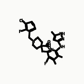 Cc1cc(Nc2nc(CC3(C(=O)O)CCN(Cc4cccc(Cl)c4F)CC3)c(F)c(C)c2C)n[nH]1